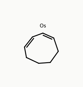 C1=CCCCCC=C1.[Os]